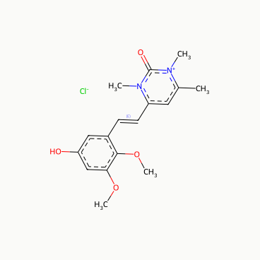 COc1cc(O)cc(/C=C/c2cc(C)[n+](C)c(=O)n2C)c1OC.[Cl-]